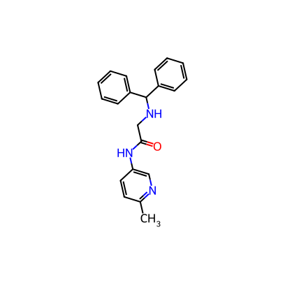 Cc1ccc(NC(=O)CNC(c2ccccc2)c2ccccc2)cn1